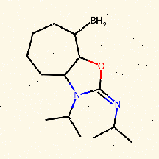 BC1CCCCC2C1O/C(=N/C(C)C)N2C(C)C